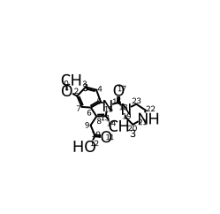 COc1ccc2c(c1)c(CC(=O)O)c(C)n2C(=O)N1CCNCC1